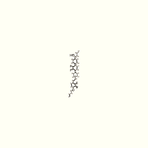 C=CCCOc1ccc(/C=C/C2CCC(c3ccc(-c4ccc(C(O)CCC)cc4)c(F)c3F)CC2)c(F)c1F